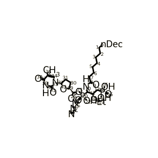 CCCCCCCCCCCCCCCCCC(=O)NC(C(CP(=O)(O)O)OCC)P(=O)(O)OC(ON=[N+]=[N-])[C@@H]1CC[C@H](n2cc(C)c(=O)[nH]c2=O)O1